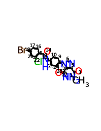 CNC(=O)c1ncn(-c2ccc(NC(=O)c3ccc(Br)cc3Cl)cc2)c1C(N)=O